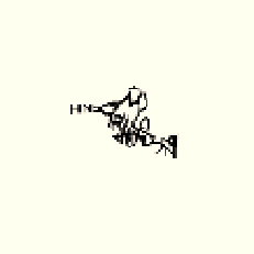 Cc1ncn(C)c1-c1ccc(NC(=O)C(NC(=O)C2(F)CC2)[C@@H]2CCCc3ccc(-c4ccc5c(c4)CNC5)cc32)cc1